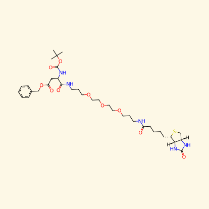 CC(C)(C)OC(=O)N[C@H](CC(=O)OCc1ccccc1)C(=O)NCCCOCCOCCOCCCNC(=O)CCCC[C@@H]1SC[C@@H]2NC(=O)N[C@@H]21